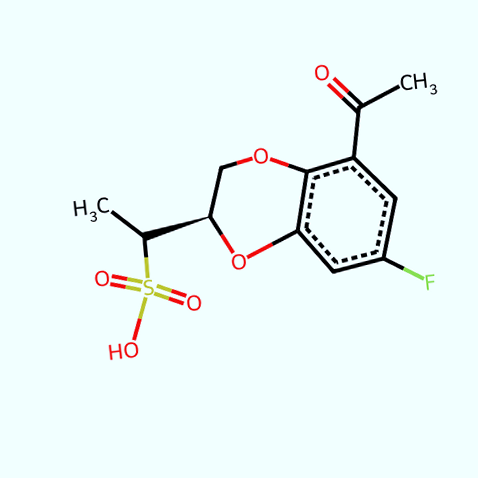 CC(=O)c1cc(F)cc2c1OC[C@H](C(C)S(=O)(=O)O)O2